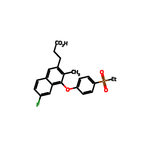 CCS(=O)(=O)c1ccc(Oc2c(C)c(CCC(=O)O)cc3ccc(F)cc23)cc1